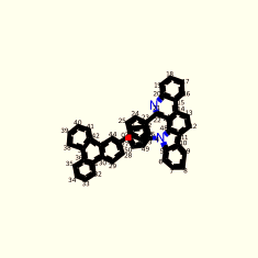 c1ccc(-n2c3ccccc3c3ccc4c5ccccc5nc(-c5ccc(-c6ccc7c8ccccc8c8ccccc8c7c6)cc5)c4c32)cc1